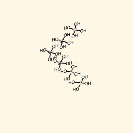 O[Si](O)(O)O.O[Si](O)(O)O.O[Si](O)(O)O.O[Si](O)(O)O.O[Si](O)(O)O.O[Si](O)(O)O